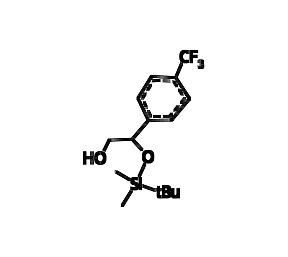 CC(C)(C)[Si](C)(C)OC(CO)c1ccc(C(F)(F)F)cc1